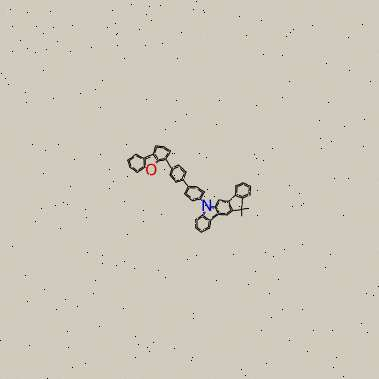 CC1(C)c2ccccc2-c2cc3c(cc21)c1ccccc1n3-c1ccc(-c2ccc(-c3cccc4c3oc3ccccc34)cc2)cc1